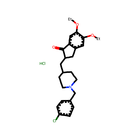 CCOc1cc2c(cc1OCC)C(=O)C(CC1CCN(Cc3ccc(Cl)cc3)CC1)C2.Cl